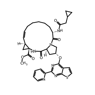 COC(=O)[C@@]12C[C@H]1/C=C\CCCCC[C@H](NC(=O)CC1CC1)C(=O)N1C[C@H](Oc3nc(-c4ccccn4)nc4sccc34)C[C@H]1C(=O)N2